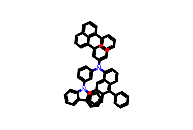 C1=CC2C=c3c(N(c4cccc(-c5cccc6cccc(-c7ccccc7)c56)c4)c4cccc(-n5c6ccccc6c6ccccc65)c4)cccc3=C(c3ccccc3)C2C=C1